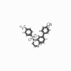 Cc1ccc(S(=O)(=O)N2CCSc3ccc(-c4ccc(C#N)cc4)cc32)cc1